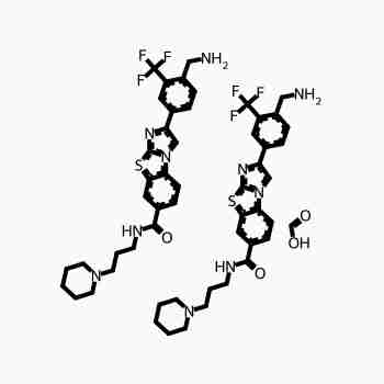 NCc1ccc(-c2cn3c(n2)sc2cc(C(=O)NCCCN4CCCCC4)ccc23)cc1C(F)(F)F.NCc1ccc(-c2cn3c(n2)sc2cc(C(=O)NCCCN4CCCCC4)ccc23)cc1C(F)(F)F.O=CO